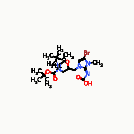 Cn1c(Br)cn(CC(CNC(=O)OC(C)(C)C)O[Si](C)(C)C(C)(C)C)c1=NC(=O)O